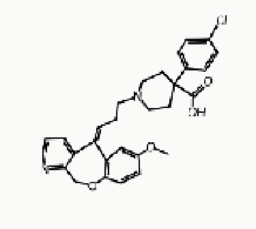 COc1ccc2c(c1)C(=CCCN1CCC(C(=O)O)(c3ccc(Cl)cc3)CC1)c1cccnc1CO2